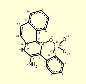 NC1=C(c2ccccc2)[N+](O[Cl+3]([O-])([O-])[O-])=C2c3ccccc3C=CN2N1